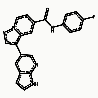 O=C(Nc1ccc(F)cc1)c1ccn2ncc(-c3cnc4[nH]ccc4c3)c2c1